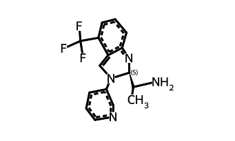 CC(N)[C@@H]1N=c2cccc(C(F)(F)F)c2=CN1c1cccnc1